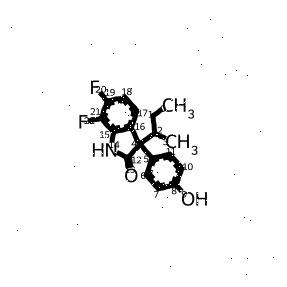 CCC(C)C1(c2ccc(O)cc2)C(=O)Nc2c1ccc(F)c2F